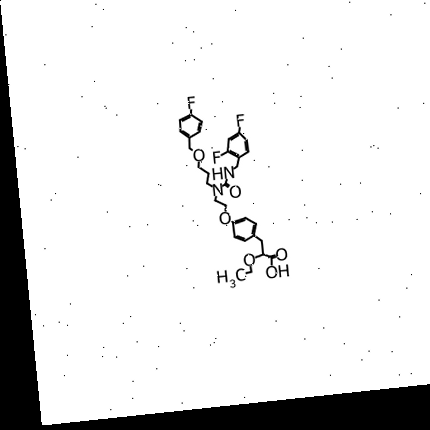 CCOC(Cc1ccc(OCCN(CCCOCc2ccc(F)cc2)C(=O)NCc2ccc(F)cc2F)cc1)C(=O)O